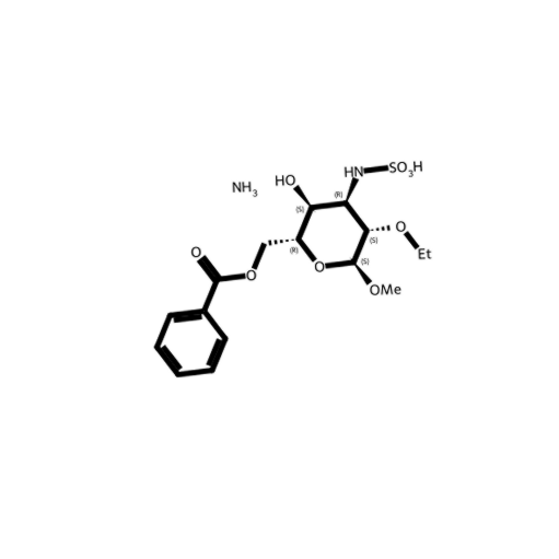 CCO[C@@H]1[C@@H](OC)O[C@H](COC(=O)c2ccccc2)[C@@H](O)[C@H]1NS(=O)(=O)O.N